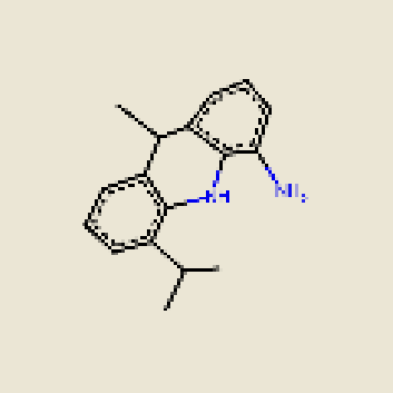 CC(C)c1cccc2c1Nc1c(N)cccc1C2C